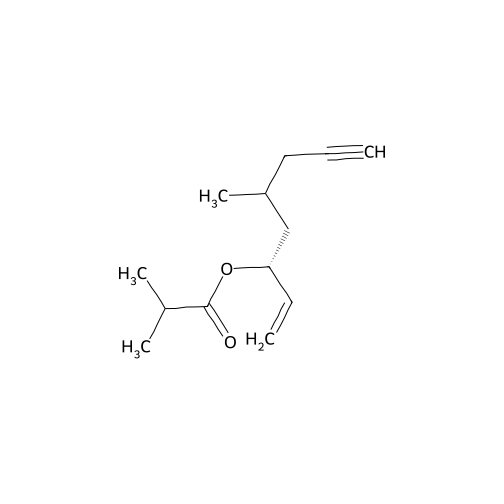 C#CCC(C)C[C@H](C=C)OC(=O)C(C)C